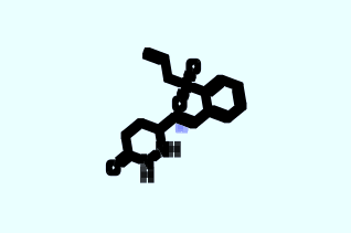 C=CCS(=O)(=O)c1ccccc1/C=C/C1CCC(=O)NN1